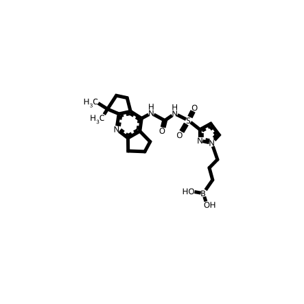 CC1(C)CCc2c1nc1c(c2NC(=O)NS(=O)(=O)c2ccn(CCCB(O)O)n2)CCC1